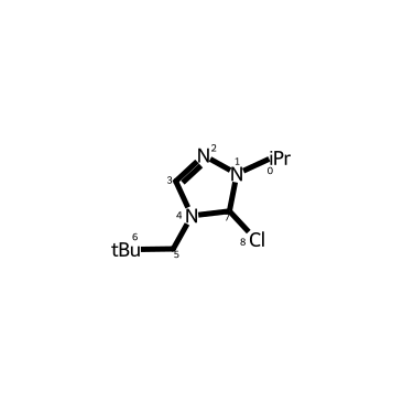 CC(C)N1N=CN(CC(C)(C)C)C1Cl